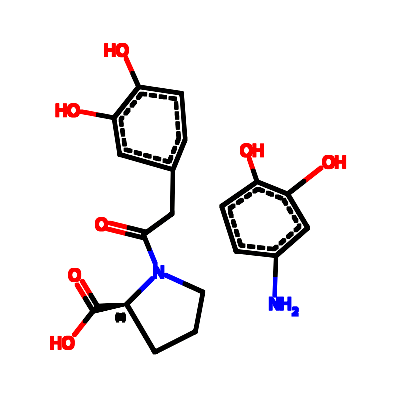 Nc1ccc(O)c(O)c1.O=C(O)[C@@H]1CCCN1C(=O)Cc1ccc(O)c(O)c1